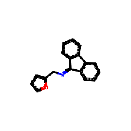 c1coc(CN=C2c3ccccc3-c3ccccc32)c1